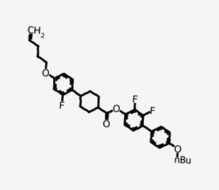 C=CCCCOc1ccc(C2CCC(C(=O)Oc3ccc(-c4ccc(OCCCC)cc4)c(F)c3F)CC2)c(F)c1